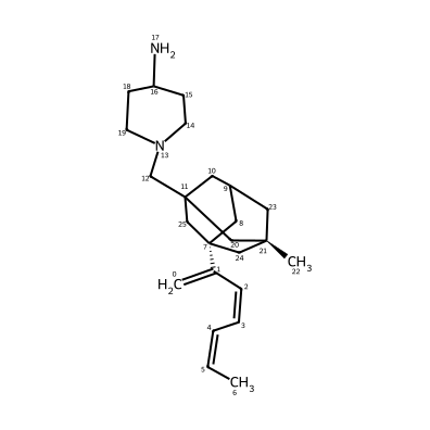 C=C(/C=C\C=C/C)[C@]12CC3CC(CN4CCC(N)CC4)(C[C@](C)(C3)C1)C2